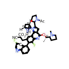 CC(=O)N1CCCC1c1cc2c(O[C@@H](C)C3CCCN3C)nc3c(F)c(-c4cccc5ncc(F)cc45)c(CCC#N)cc3c2n1[C@H]1[C@@H]2C[C@H]1N(C(=O)O)C2